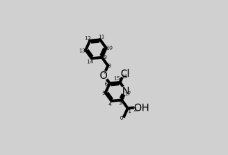 CC(O)c1ccc(OCc2ccccc2)c(Cl)n1